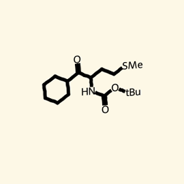 CSCCC(NC(=O)OC(C)(C)C)C(=O)C1CCCCC1